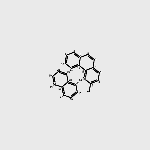 Cc1ccc2ccc3ccccc3c2n1.c1ccc2ncccc2c1